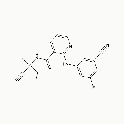 C#CC(C)(CC)NC(=O)c1cccnc1Nc1cc(F)cc(C#N)c1